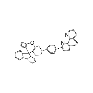 C1=CC2c3ccccc3C3(C4=C(CC(c5ccc(-c6ccc7ccc8cccnc8c7n6)cc5)CC4)Oc4ccccc43)C2C=C1